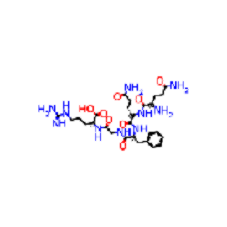 N=C(N)NCCC[C@H](NC(=O)CNC(=O)[C@H](Cc1ccccc1)NC(=O)[C@H](CCC(N)=O)NC(=O)[C@@H](N)CCC(N)=O)C(=O)O